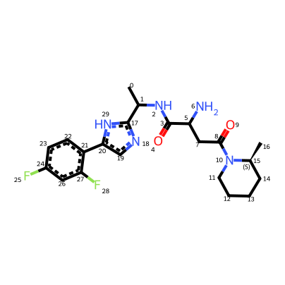 CC(NC(=O)C(N)CC(=O)N1CCCC[C@@H]1C)c1ncc(-c2ccc(F)cc2F)[nH]1